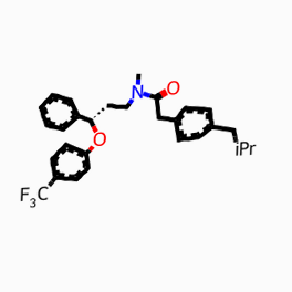 CC(C)Cc1ccc(CC(=O)N(C)CC[C@H](Oc2ccc(C(F)(F)F)cc2)c2ccccc2)cc1